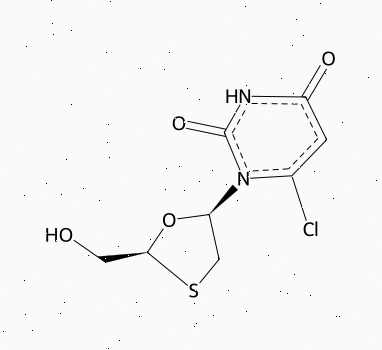 O=c1cc(Cl)n([C@H]2CS[C@@H](CO)O2)c(=O)[nH]1